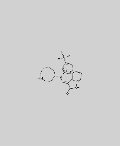 O=C1Nc2cccc(F)c2/C1=C\N(c1cccc(C(F)(F)F)c1)C1CCCCNCC1